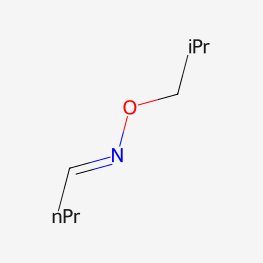 [CH2]CCC=NOCC(C)C